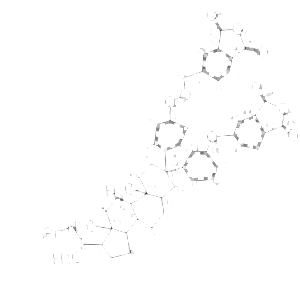 CC(C)CC(C)C1CCC2C3CCC4CC(c5ccc(OOCc6ccc7c(c6)C(=O)OC7=O)cc5)(c5cccc(Oc6ccc7c(c6)C(=O)OC7=O)c5)CCC4(C)C3CCC12C